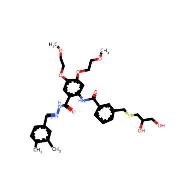 COCCOc1cc(NC(=O)c2cccc(CSCC(O)CO)c2)c(C(=O)N/N=C/c2ccc(C)c(C)c2)cc1OCCOC